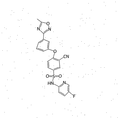 Cc1nc(-c2cccc(Oc3ccc(S(=O)(=O)Nc4ccc(F)cn4)cc3C#N)c2)no1